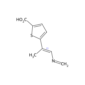 C=N/C=C(\C)c1ccc(C(=O)O)s1